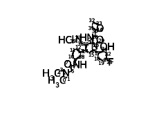 CCN(CC)CC(=O)Nc1cccc(-c2cc(-c3ccc(F)cc3O)nc(NC(=O)c3ccco3)c2C#N)c1.Cl